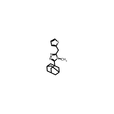 Cn1c(Cc2cccs2)nnc1C12CC3CC(CC(C3)C1)C2